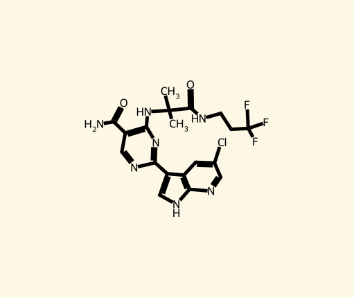 CC(C)(Nc1nc(-c2c[nH]c3ncc(Cl)cc23)ncc1C(N)=O)C(=O)NCCC(F)(F)F